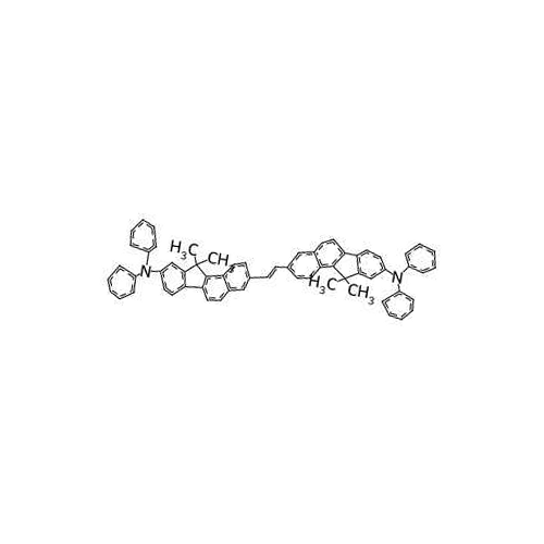 CC1(C)c2cc(N(c3ccccc3)c3ccccc3)ccc2-c2ccc3cc(/C=C/c4ccc5c6c(ccc5c4)-c4ccc(N(c5ccccc5)c5ccccc5)cc4C6(C)C)ccc3c21